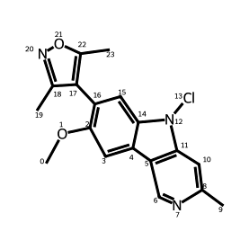 COc1cc2c3cnc(C)cc3n(Cl)c2cc1-c1c(C)noc1C